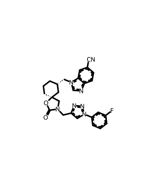 N#Cc1ccc2ncn(C[C@H]3CCC[C@]4(C3)CN(Cc3cn(-c5cccc(F)c5)nn3)C(=O)O4)c2c1